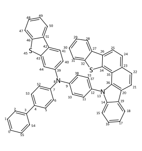 c1ccc(-c2ccc(N(c3ccc(-n4c5ccccc5c5ccc6ccc7c8ccccc8sc7c6c54)cc3)c3ccc4c(c3)sc3ccccc34)cc2)cc1